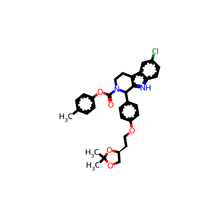 Cc1ccc(OC(=O)N2CCc3c([nH]c4ccc(Cl)cc34)C2c2ccc(OCC[C@H]3COC(C)(C)O3)cc2)cc1